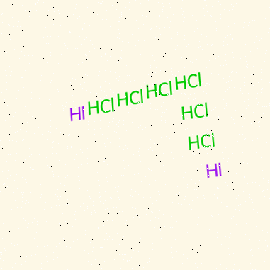 Cl.Cl.Cl.Cl.Cl.Cl.I.I